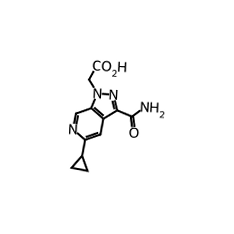 NC(=O)c1nn(CC(=O)O)c2cnc(C3CC3)cc12